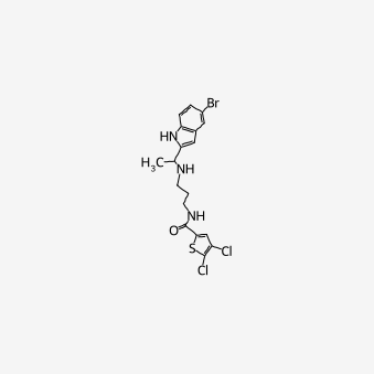 CC(NCCCNC(=O)c1cc(Cl)c(Cl)s1)c1cc2cc(Br)ccc2[nH]1